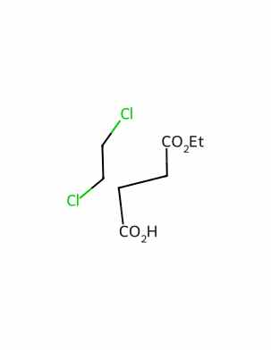 CCOC(=O)CCC(=O)O.ClCCCl